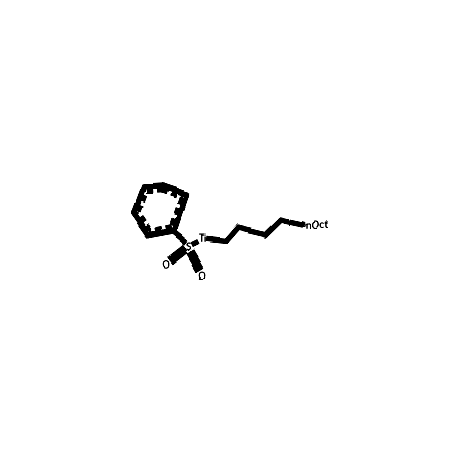 CCCCCCCCCCC[CH2][Ti][S](=O)(=O)c1ccccc1